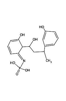 CC(CC(O)C1C(O)=CC=CC1=NP(=O)(O)O)c1cccc(O)c1